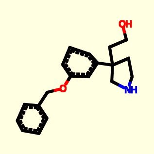 OCCC1(c2cccc(OCc3ccccc3)c2)CCNC1